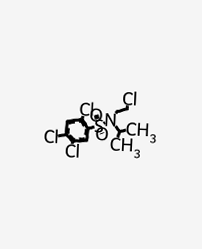 CC(C)N(CCCl)S(=O)(=O)c1cc(Cl)c(Cl)cc1Cl